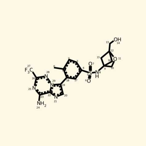 Cc1ccc(S(=O)(=O)NC23COC(CO)(C2)C3)cc1-c1cnc2c(N)nc(C(F)(F)F)nn12